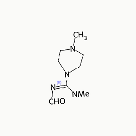 CN/C(=N\C=O)N1CCN(C)CC1